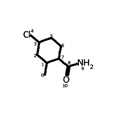 CC1CC(Cl)CCC1C(N)=O